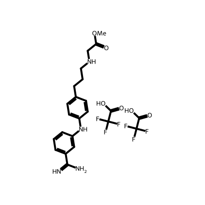 COC(=O)CNCCCc1ccc(Nc2cccc(C(=N)N)c2)cc1.O=C(O)C(F)(F)F.O=C(O)C(F)(F)F